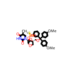 COc1ccc(C(OC[C@]23COC(C2O[PH](O)=S)[C@H](n2cc(C)c(=O)[nH]c2=O)O3)(c2ccccc2)c2ccc(OC)cc2)cc1